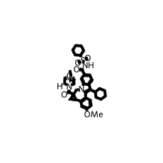 COc1ccc2c(c1)C1CC1(C(=O)N1C=C3OC[C@H]1CN3C)Cn1c-2c(C2CCCCC2)c2ccc(C(=O)NS(=O)(=O)C3CCCCC3)cc21